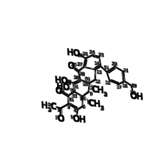 CC(=O)C1=C(O)C[C@]2(C)C[C@]3(C)Cc4c(-c5ccc(CO)cc5)ccc(O)c4C(=O)C3=C(O)[C@]2(O)C1=O